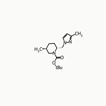 Cc1ccn(C[C@H]2CC[C@H](C)CN2C(=O)OC(C)(C)C)n1